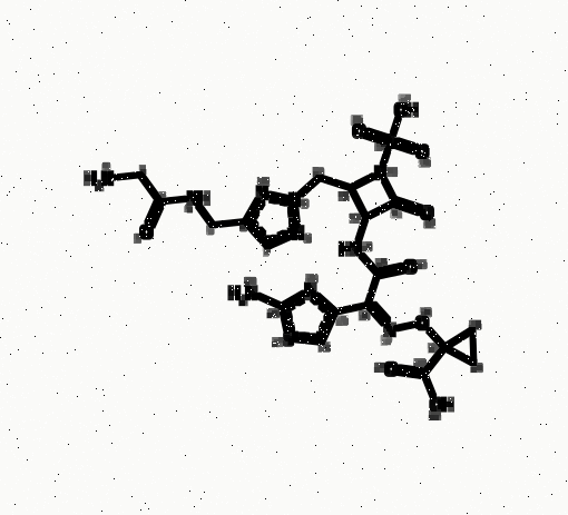 NCC(=O)NCc1cnn(CC2C(NC(=O)/C(=N\OC3(C(=O)O)CC3)c3csc(N)n3)C(=O)N2S(=O)(=O)O)n1